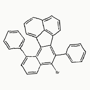 Brc1c(-c2ccccc2)c2c(c3c(-c4ccccc4)cccc13)-c1cccc3cccc-2c13